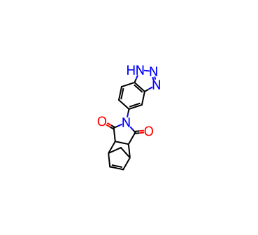 O=C1C2C3C=CC(C3)C2C(=O)N1c1ccc2[nH]nnc2c1